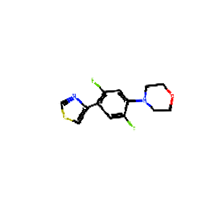 Fc1cc(N2CCOCC2)c(F)cc1-c1cs[c]n1